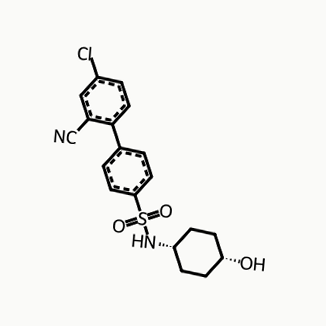 N#Cc1cc(Cl)ccc1-c1ccc(S(=O)(=O)N[C@H]2CC[C@@H](O)CC2)cc1